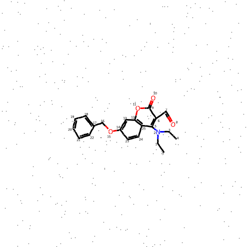 CCN(CC)c1c(C=O)c(=O)oc2cc(OCc3ccccc3)ccc12